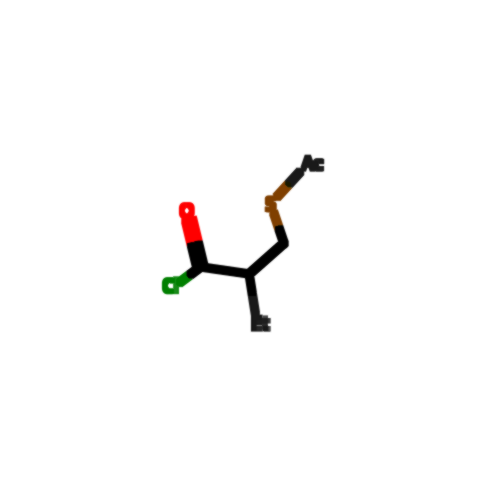 CCC(CSC(C)=O)C(=O)Cl